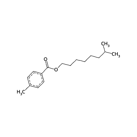 Cc1ccc(C(=O)OCCCCCCC(C)C)cc1